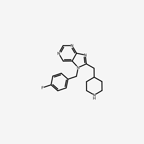 Fc1ccc(Cn2c(CC3CCNCC3)nc3ncncc32)cc1